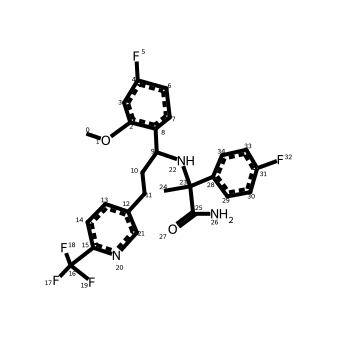 COc1cc(F)ccc1C(CCc1ccc(C(F)(F)F)nc1)NC(C)(C(N)=O)c1ccc(F)cc1